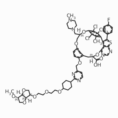 CO[C@@H]1CO[C@H]2[C@@H]1OC[C@H]2OCCOCCOC1CCC(c2nccc(COc3ccc4cc3C[C@H](C(=O)O)Oc3ncnc5sc(-c6ccc(F)cc6)c(c35)-c3c(C)c(Cl)c(c(Cl)c3C)O[C@H](CN3CCN(C)CC3)CO4)n2)CC1